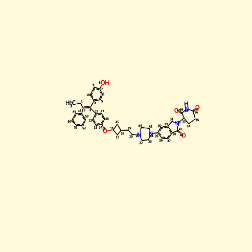 CCC(=C(c1ccc(O)cc1)c1ccc(OC2CC(CCN3CCN(c4ccc5c(c4)CN(C4CCC(=O)NC4=O)C5=O)CC3)C2)cc1)c1ccccc1